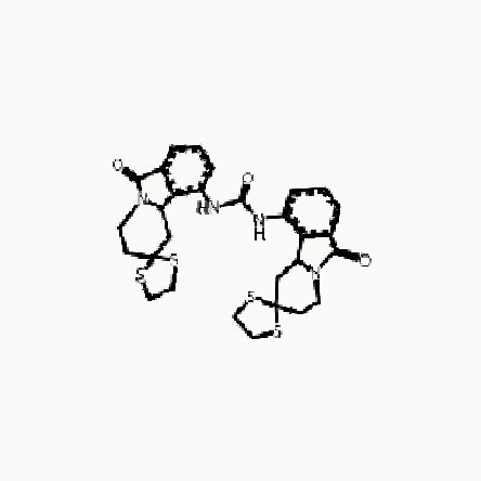 O=C(Nc1cccc2c1C1CC3(CCN1C2=O)SCCS3)Nc1cccc2c1C1CC3(CCN1C2=O)SCCS3